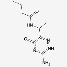 CCCC(=O)NC(C)c1n[nH]c(N)nc1=O